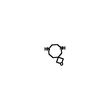 C1CNCC2(CCN1)COC2